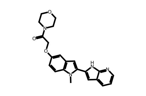 Cn1c(-c2cc3cccnc3[nH]2)cc2cc(OCC(=O)N3CCOCC3)ccc21